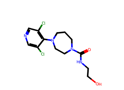 O=C(NCCO)N1CCCN(c2c(Cl)cncc2Cl)CC1